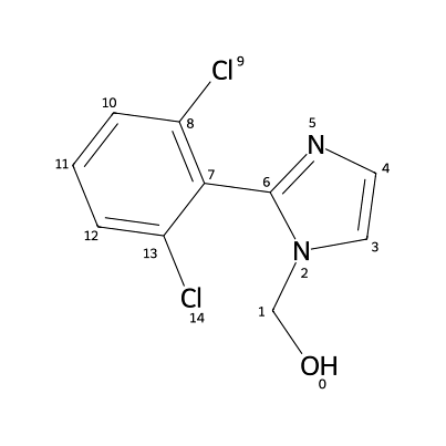 OCn1ccnc1-c1c(Cl)cccc1Cl